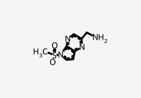 CS(=O)(=O)n1ccc2nc(CN)cnc21